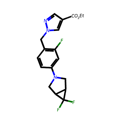 CCOC(=O)c1cnn(Cc2ccc(N3CC4C(C3)C4(F)F)cc2F)c1